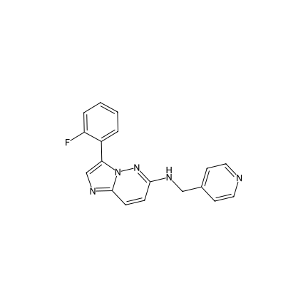 Fc1ccccc1-c1cnc2ccc(NCc3ccncc3)nn12